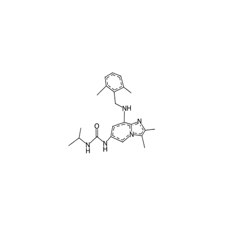 Cc1cccc(C)c1CNc1cc(NC(=O)NC(C)C)cn2c(C)c(C)nc12